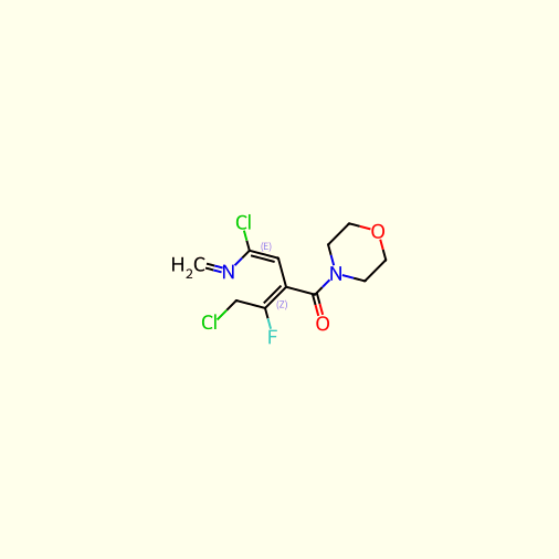 C=N/C(Cl)=C\C(C(=O)N1CCOCC1)=C(\F)CCl